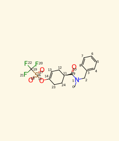 CN(Cc1ccccc1)C(=O)[C@@H]1CC=C(OS(=O)(=O)C(F)(F)F)CC1